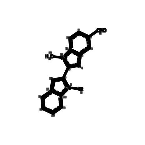 CCn1c(-c2nc3cc(C=O)ccc3n2C)cc2ccccc21